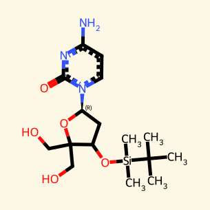 CC(C)(C)[Si](C)(C)OC1C[C@H](n2ccc(N)nc2=O)OC1(CO)CO